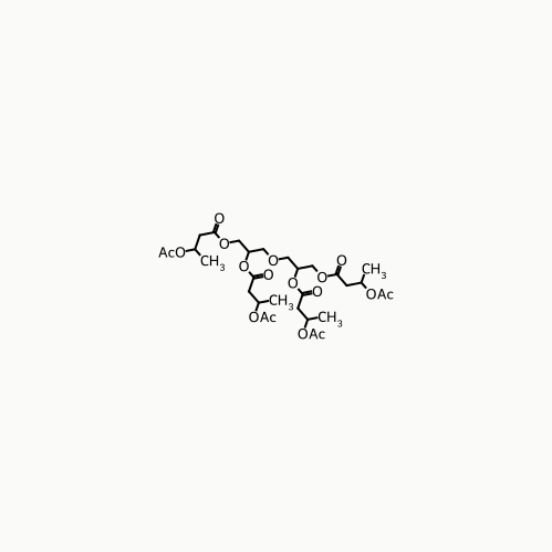 CC(=O)OC(C)CC(=O)OCC(COCC(COC(=O)CC(C)OC(C)=O)OC(=O)CC(C)OC(C)=O)OC(=O)CC(C)OC(C)=O